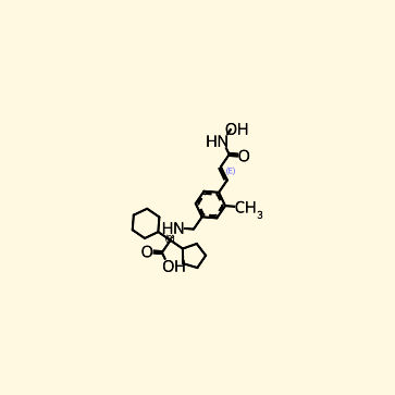 Cc1cc(CN[C@](C(=O)O)(C2CCCCC2)C2CCCC2)ccc1/C=C/C(=O)NO